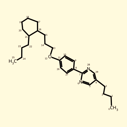 CCCCc1cnc(-c2ccc(OCCCC3CCCCC3CCCC)cc2)nc1